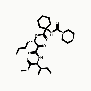 CCCC[C@H](NC(=O)C1(NC(=O)N2CCOCC2)CCCCC1)C(=O)C(=O)N[C@H](C(=O)OC)C(C)CC